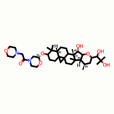 C[C@@H]1CC(C(O)C(C)(C)O)OC2[C@H]1C1(C)CCC34CC35CCC(O[C@H]3CN(C(=O)CN6CCOCC6)CCO3)C(C)(C)[C@@H]5CCC4[C@]1(C)[C@H]2O